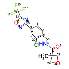 CC1(C(=O)NCc2ccc(-c3noc(C(F)(F)F)n3)cc2Cl)COC1